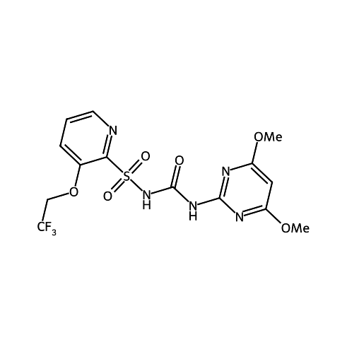 COc1cc(OC)nc(NC(=O)NS(=O)(=O)c2ncccc2OCC(F)(F)F)n1